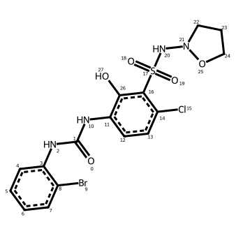 O=C(Nc1ccccc1Br)Nc1ccc(Cl)c(S(=O)(=O)NN2CCCO2)c1O